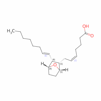 CCCCCC/C=C/[C@@H]1[C@H](C/C=C\CCCC(=O)O)[C@@H]2CC[C@H]1O2